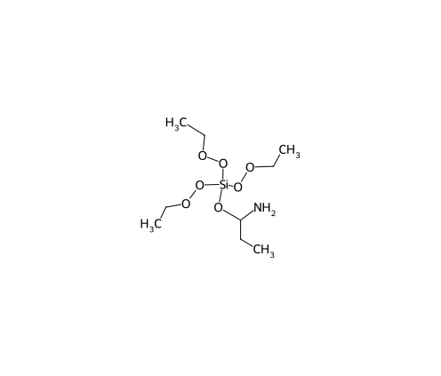 CCOO[Si](OOCC)(OOCC)OC(N)CC